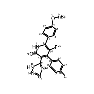 CCCCOc1ccc(-c2[nH]c(=O)c(-c3nnn[nH]3)c(-c3ccc(C)cc3)c2F)cc1